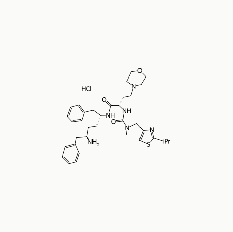 CC(C)c1nc(CN(C)C(=O)N[C@@H](CCN2CCOCC2)C(=O)N[C@H](CC[C@@H](N)Cc2ccccc2)Cc2ccccc2)cs1.Cl